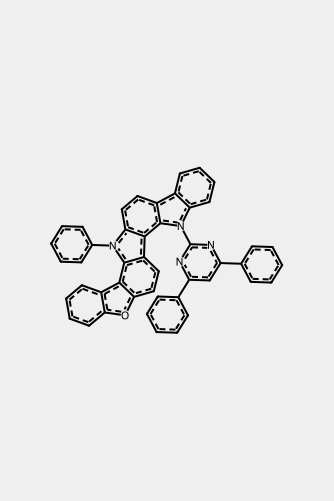 c1ccc(-c2cc(-c3ccccc3)nc(-n3c4ccccc4c4ccc5c(c6ccc7oc8ccccc8c7c6n5-c5ccccc5)c43)n2)cc1